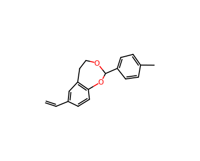 C=Cc1ccc2c(c1)CCOC(c1ccc(C)cc1)O2